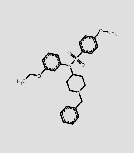 CCOc1cccc(N(C2CCN(Cc3ccccc3)CC2)S(=O)(=O)c2ccc(OC)cc2)c1